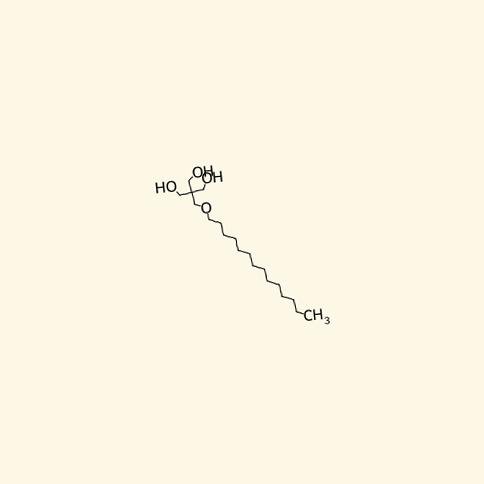 CCCCCCCCCCCCCCOCC(CO)(CO)CO